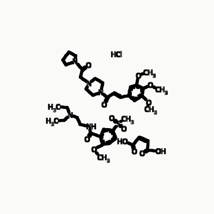 CCN(CC)CCNC(=O)c1cc(S(C)(=O)=O)ccc1OC.COc1cc(/C=C/C(=O)N2CCN(CC(=O)N3CCCC3)CC2)cc(OC)c1OC.Cl.O=C(O)/C=C\C(=O)O